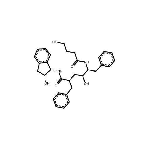 O=C(CCCO)N[C@@H](Cc1ccccc1)[C@@H](O)C[C@@H](Cc1ccccc1)C(=O)N[C@H]1c2ccccc2C[C@H]1O